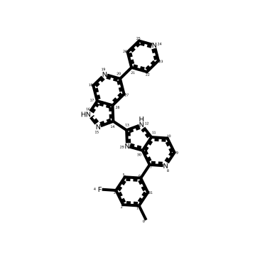 Cc1cc(F)cc(-c2nccc3[nH]c(-c4n[nH]c5cnc(-c6ccncc6)cc45)nc23)c1